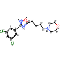 Clc1cc(Cl)cc(-c2noc(CCCCN3CCOCC3)n2)c1